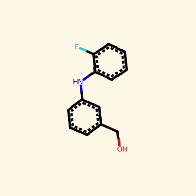 OCc1cccc(Nc2ccccc2F)c1